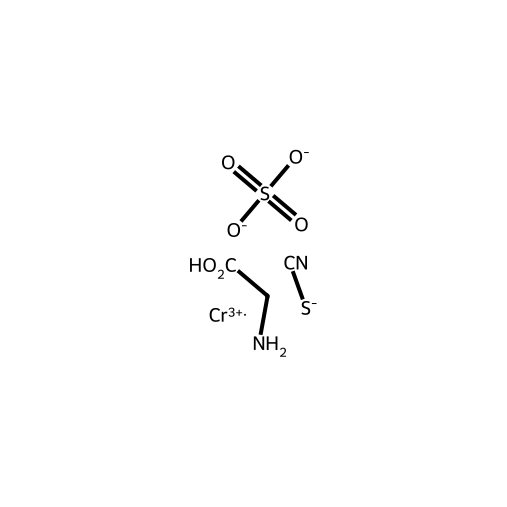 N#C[S-].NCC(=O)O.O=S(=O)([O-])[O-].[Cr+3]